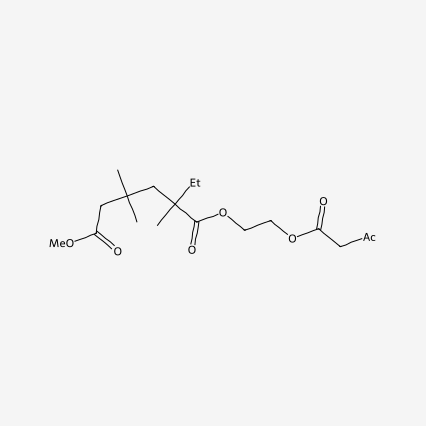 CCC(C)(CC(C)(C)CC(=O)OC)C(=O)OCCOC(=O)CC(C)=O